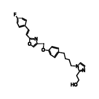 OCCc1nccn1CCCCc1ccc(OCc2coc(C=Cc3ccc(F)cc3)n2)cc1